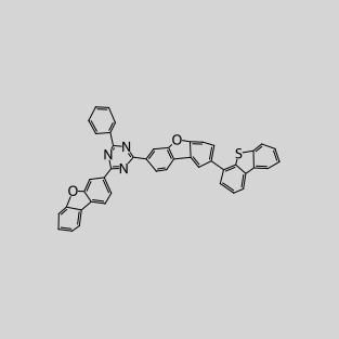 c1ccc(-c2nc(-c3ccc4c(c3)oc3ccccc34)nc(-c3ccc4c(c3)oc3ccc(-c5cccc6c5sc5ccccc56)cc34)n2)cc1